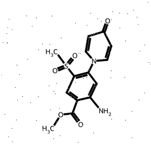 COC(=O)c1cc(S(C)(=O)=O)c(-n2ccc(=O)cc2)cc1N